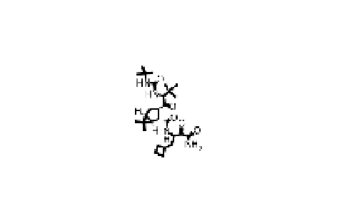 CC(C)(C)NC(=O)N[C@H](C(=O)[C@@H]1C[C@H]2[C@@H]([C@H]1C(=O)NC(CC1CCC1)C(=O)C(N)=O)C2(C)C)C(C)(C)C